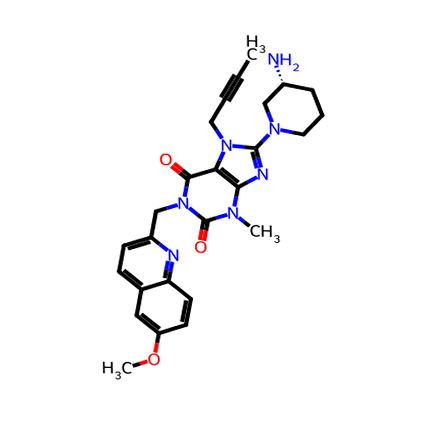 CC#CCn1c(N2CCC[C@@H](N)C2)nc2c1c(=O)n(Cc1ccc3cc(OC)ccc3n1)c(=O)n2C